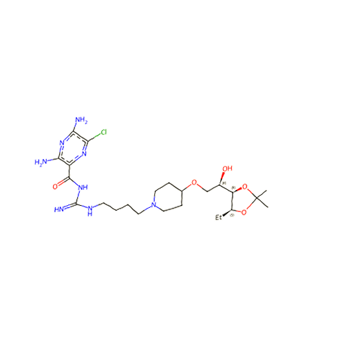 CC[C@@H]1OC(C)(C)O[C@@H]1[C@H](O)COC1CCN(CCCCNC(=N)NC(=O)c2nc(Cl)c(N)nc2N)CC1